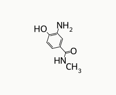 CNC(=O)c1ccc(O)c(N)c1